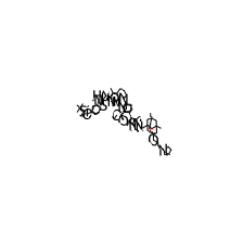 COC(=O)c1nc(N2CCCc3c2nnc(Nc2nc4cc(O[Si](C)(C)C(C)(C)C)ccc4s2)c3C)ccc1-c1cnn(CC23CC4(C)CC(C)(C2)CC(OCCN2CCCC2)(C4)C3)c1C